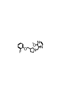 COc1nccnc1CN1CCC(COc2ccccc2F)C1